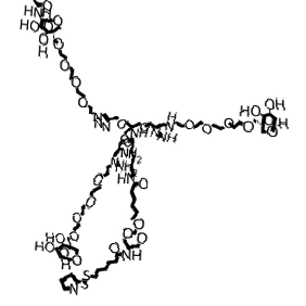 CC(=O)N[C@H]1[C@H]2OC[C@](COCCOCCOCCOCCn3cc(COCC(COC/C(N)=C/N(N)CCOCCOCCOCCOC[C@]45CO[C@H](C[C@@H](O)[C@H]4O)O5)(COC/C(=C/NCCOCCOCCOCCOC[C@]45CO[C@H](C[C@@H](O)[C@H]4O)O5)N=N)NC(=O)CCCCCNC(=O)CCCCCOC4OCC(NC(=O)CCCCCSSc5ccccn5)CO4)nn3)(O2)[C@H](O)[C@@H]1O